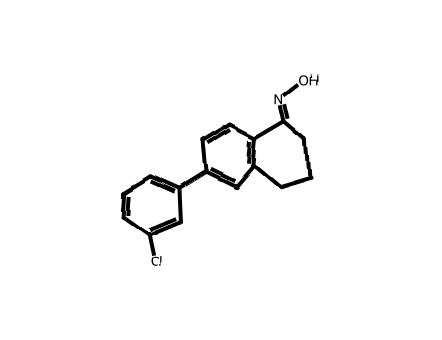 ON=C1CCCc2cc(-c3cccc(Cl)c3)ccc21